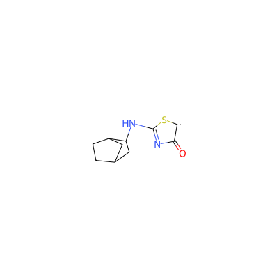 O=C1[CH]SC(NC2CC3CCC2C3)=N1